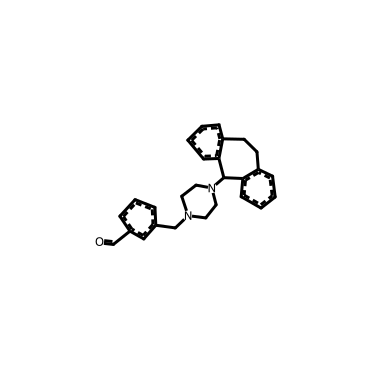 O=Cc1cccc(CN2CCN(C3c4ccccc4CCc4ccccc43)CC2)c1